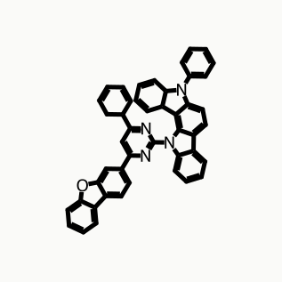 C1=CCC(c2cc(-c3ccc4c(c3)oc3ccccc34)nc(-n3c4ccccc4c4ccc5c(c43)C3C=CC=CC3N5c3ccccc3)n2)C=C1